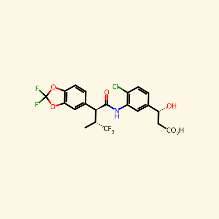 C[C@H]([C@H](C(=O)Nc1cc([C@H](O)CC(=O)O)ccc1Cl)c1ccc2c(c1)OC(F)(F)O2)C(F)(F)F